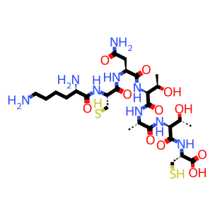 C[C@H](NC(=O)[C@@H](NC(=O)[C@H](CC(N)=O)NC(=O)[C@H](CS)NC(=O)[C@@H](N)CCCCN)[C@@H](C)O)C(=O)N[C@H](C(=O)N[C@@H](CS)C(=O)O)[C@@H](C)O